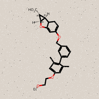 CCOCCOc1cc(C)c(-c2cccc(COC3=CCC4C(=C3)O[C@H]3[C@H](C(=O)O)[C@@H]43)c2)c(C)c1